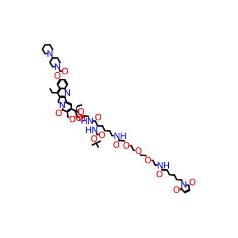 CCc1c2c(nc3ccc(OC(=O)N4CCC(N5CCCCC5)CC4)cc13)-c1cc3c(c(=O)n1C2)COC(=O)[C@@]3(CC)OC(=O)CNC(=O)C(CCCCNC(=O)COCCOCCOCCNC(=O)CCCCCN1C(=O)C=CC1=O)NC(=O)OC(C)(C)C